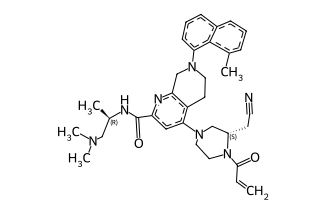 C=CC(=O)N1CCN(c2cc(C(=O)N[C@H](C)CN(C)C)nc3c2CCN(c2cccc4cccc(C)c24)C3)C[C@@H]1CC#N